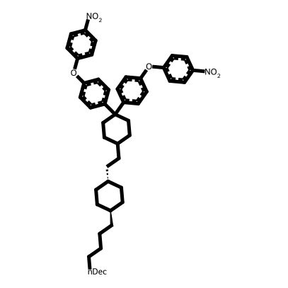 CCCCCCCCCCCCCC[C@H]1CC[C@H](CCC2CCC(c3ccc(Oc4ccc([N+](=O)[O-])cc4)cc3)(c3ccc(Oc4ccc([N+](=O)[O-])cc4)cc3)CC2)CC1